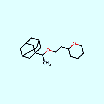 C[C@H](OCCC1CCCCO1)C12CC3CC(CC(C3)C1)C2